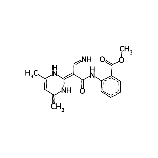 C=C1C=C(C)N/C(=C(\C=N)C(=O)Nc2ccccc2C(=O)OC)N1